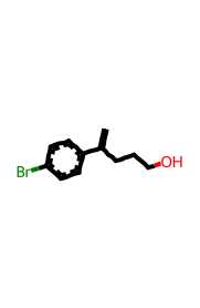 C=C(CCCO)c1ccc(Br)cc1